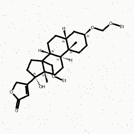 CCOCO[C@H]1CC[C@@]2(C)[C@H](CC[C@@H]3[C@@H]2CC[C@@]2(C)C3(COCC)CC[C@]2(O)C2=CC(=O)OC2)C1